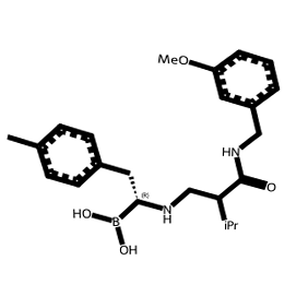 COc1cccc(CNC(=O)C(CN[C@@H](Cc2ccc(C)cc2)B(O)O)C(C)C)c1